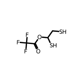 O=C(OC(S)CS)C(F)(F)F